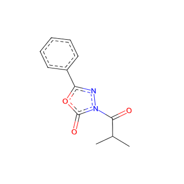 CC(C)C(=O)n1nc(-c2ccccc2)oc1=O